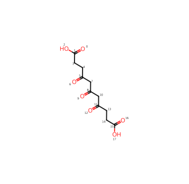 O=C(O)CCC(=O)CC(=O)CC(=O)CCC(=O)O